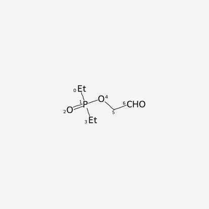 CCP(=O)(CC)OCC=O